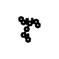 c1ccc2c(c1)ccc1c2nc2c3sc4ccc5ccccc5c4c3cc(-c3ccc(-c4cccc5c4sc4ccccc45)cc3)n12